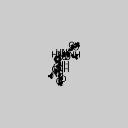 CC(C)CNC(=O)[C@H](CCC(=O)OC(C)(C)C)NC(=O)Nc1cccc(NC(=O)N[C@@H](CCC(=O)OC(C)(C)C)C(=O)NCC(C)C)c1